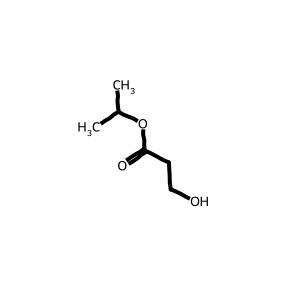 CC(C)OC(=O)CCO